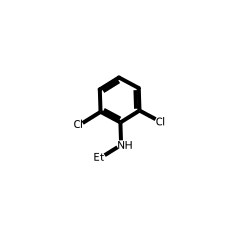 CCNc1c(Cl)cccc1Cl